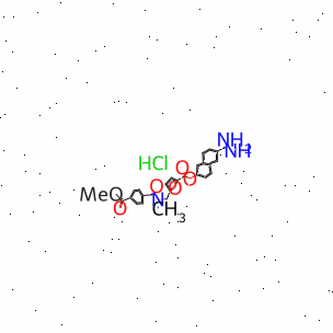 COC(=O)c1ccc(C(=O)N(C)Cc2ccc(C(=O)Oc3ccc4cc(C(=N)N)ccc4c3)o2)cc1.Cl